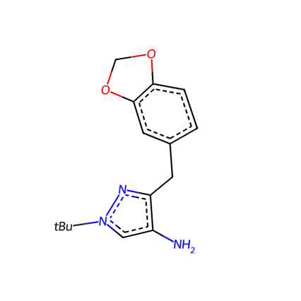 CC(C)(C)n1cc(N)c(Cc2ccc3c(c2)OCO3)n1